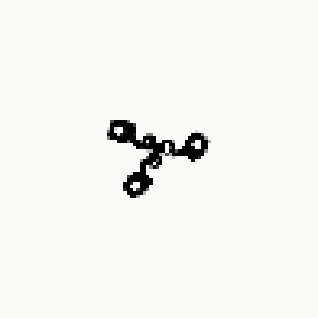 C1CC2CC1CC2COP(OCC1CC2CCC1C2)OCC1CC2CCC1C2